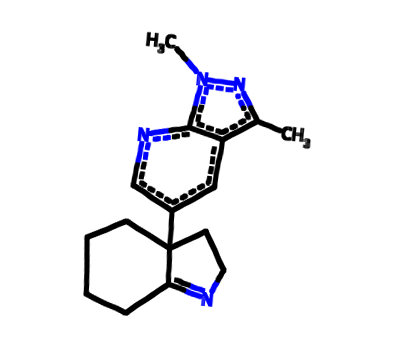 Cc1nn(C)c2ncc(C34CCCCC3=NCC4)cc12